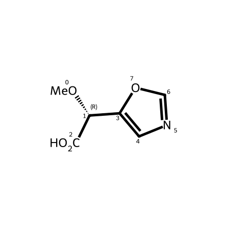 CO[C@@H](C(=O)O)c1cnco1